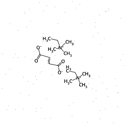 CC[N+](C)(C)C.CC[N+](C)(C)C.O=C([O-])/C=C/C(=O)[O-]